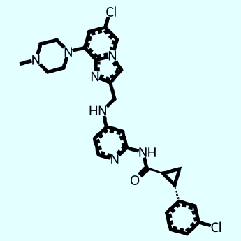 CN1CCN(c2cc(Cl)cn3cc(CNc4ccnc(NC(=O)[C@H]5C[C@@H]5c5cccc(Cl)c5)c4)nc23)CC1